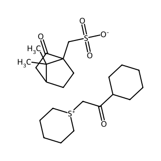 CC1(C)C2CCC1(CS(=O)(=O)[O-])C(=O)C2.O=C(C[S+]1CCCCC1)C1CCCCC1